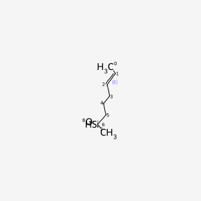 C/C=C/CCC[SiH](C)[O]